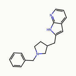 c1ccc(CN2CCC(Cc3cc4cccnc4[nH]3)C2)cc1